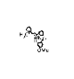 COc1ccc(C(=O)Nc2ccccc2C(O)CCC2CCCCN2C)cc1